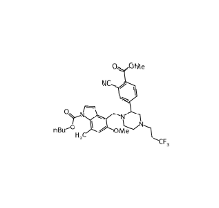 CCCCOC(=O)n1ccc2c(CN3CCN(CCC(F)(F)F)CC3c3ccc(C(=O)OC)c(C#N)c3)c(OC)cc(C)c21